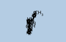 COc1ccc(CNC(=O)c2cccc3nc(NC(=O)c4cc5ccccc5cn4)[nH]c23)cc1